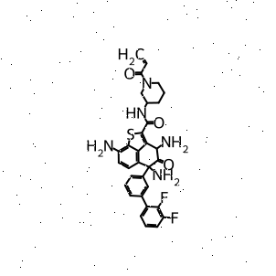 C=CC(=O)N1CCCC(NC(=O)c2sc3c(N)ccc4c3c2C(N)C(=O)C4(N)c2cccc(-c3cccc(F)c3F)c2)C1